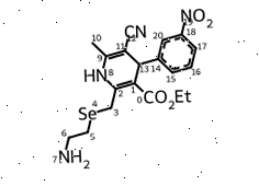 CCOC(=O)C1=C(C[Se]CCN)NC(C)=C(C#N)C1c1cccc([N+](=O)[O-])c1